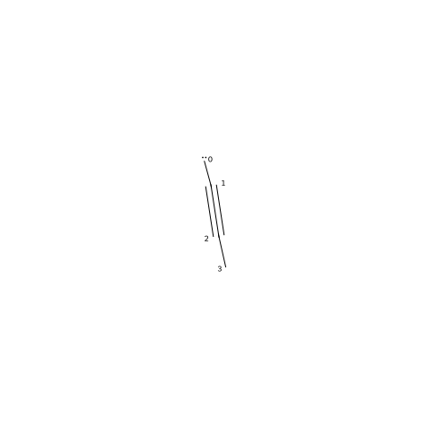 [CH]C#CC